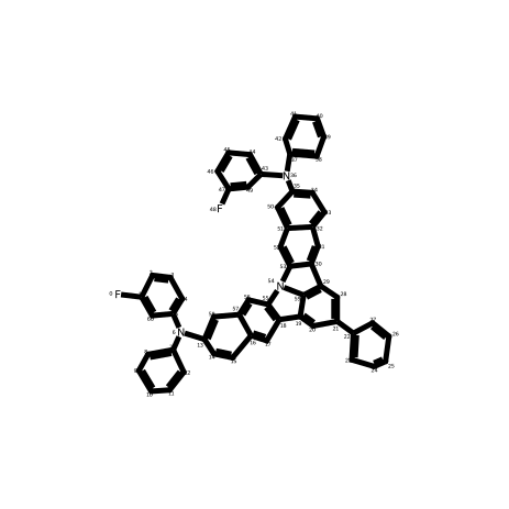 Fc1cccc(N(c2ccccc2)c2ccc3cc4c5cc(-c6ccccc6)cc6c7cc8ccc(N(c9ccccc9)c9cccc(F)c9)cc8cc7n(c4cc3c2)c56)c1